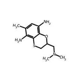 Cc1cc(N)c2c(c1N)SCC(CN(C)C)O2